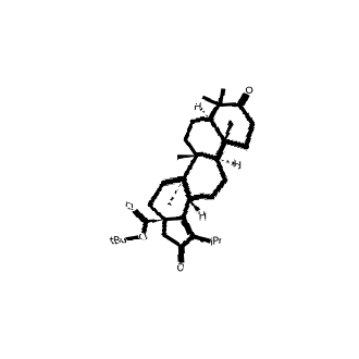 CC(C)C1=C2[C@H]3CC[C@@H]4[C@@]5(C)CCC(=O)C(C)(C)[C@@H]5CC[C@@]4(C)[C@]3(C)CC[C@@]2(C(=O)OC(C)(C)C)CC1=O